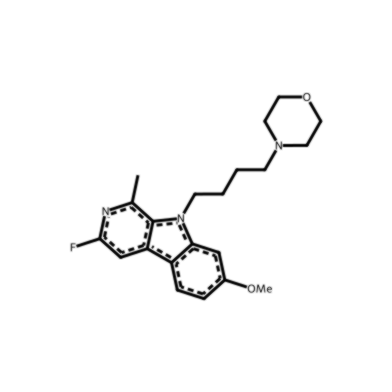 COc1ccc2c3cc(F)nc(C)c3n(CCCCN3CCOCC3)c2c1